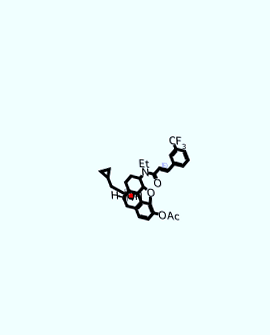 CCN(C(=O)/C=C/c1cccc(C(F)(F)F)c1)C1CC[C@@]2(O)[C@H]3Cc4ccc(OC(C)=O)c5c4[C@@]2(CCN3CC2CC2)C1O5